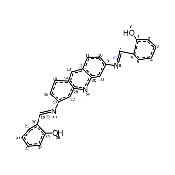 Oc1ccccc1/C=N/c1ccc2cc3ccc(/N=C/c4ccccc4O)cc3nc2c1